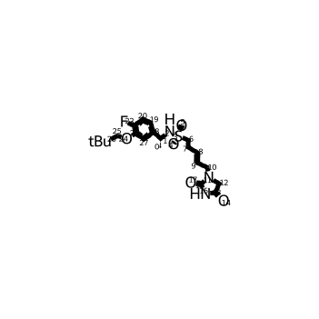 C[C@@H](NS(=O)(=O)CC/C=C/CN1CC(=O)NC1=O)c1ccc(F)c(OCC(C)(C)C)c1